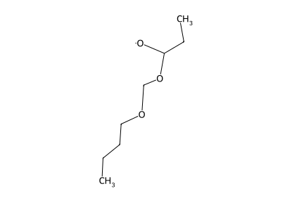 CCCCOCOC([O])CC